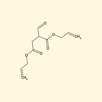 C=CCOC(=O)CC(C=O)C(=O)OCC=C